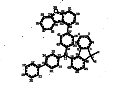 CC1(C)c2ccccc2-c2c(N(c3ccc(-c4ccccc4)cc3)c3ccc(-c4cccc5oc6ccccc6c45)cc3)cccc21